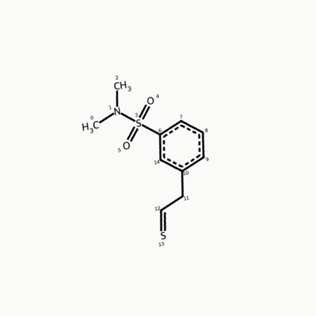 CN(C)S(=O)(=O)c1cccc(CC=S)c1